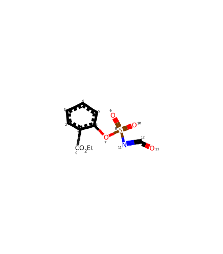 CCOC(=O)c1ccccc1OS(=O)(=O)N=C=O